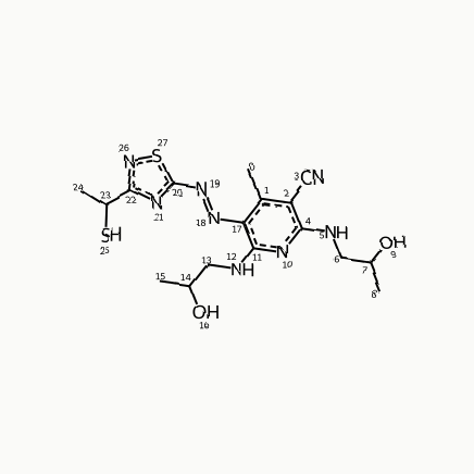 Cc1c(C#N)c(NCC(C)O)nc(NCC(C)O)c1N=Nc1nc(C(C)S)ns1